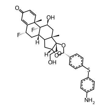 C[C@]12C=CC(=O)C=C1[C@@H](F)C[C@H]1C3C[C@H]4O[C@@H](c5ccc(Sc6ccc(N)cc6)cc5)O[C@@]4(C(=O)CO)[C@@]3(C)C[C@H](O)[C@@]12F